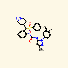 C=Cc1ccc(S(=O)(=O)C(c2ccccc2NC(=O)Nc2cc(C(C)(C)C)nn2-c2ccc(C)cc2)C2CCNCC2)cc1